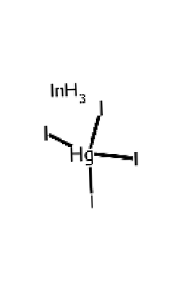 [I][Hg]([I])([I])[I].[InH3]